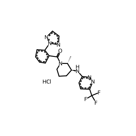 C[C@@H]1[C@@H](Nc2ccc(C(F)(F)F)nn2)CCCN1C(=O)c1ccccc1-n1nccn1.Cl